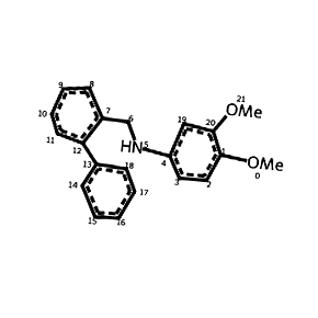 COc1ccc(NCc2ccccc2-c2ccccc2)cc1OC